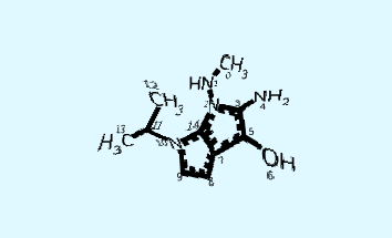 CNn1c(N)c(O)c2ccn(C(C)C)c21